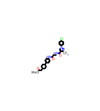 COC(=O)CC1CCC(c2ccc(NC(=O)CCNC(=O)c3cn(-c4ccc(Cl)cc4)nc3C(F)(F)F)cc2)CC1